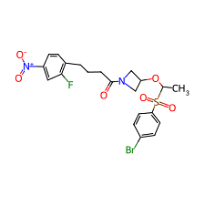 CC(OC1CN(C(=O)CCCc2ccc([N+](=O)[O-])cc2F)C1)S(=O)(=O)c1ccc(Br)cc1